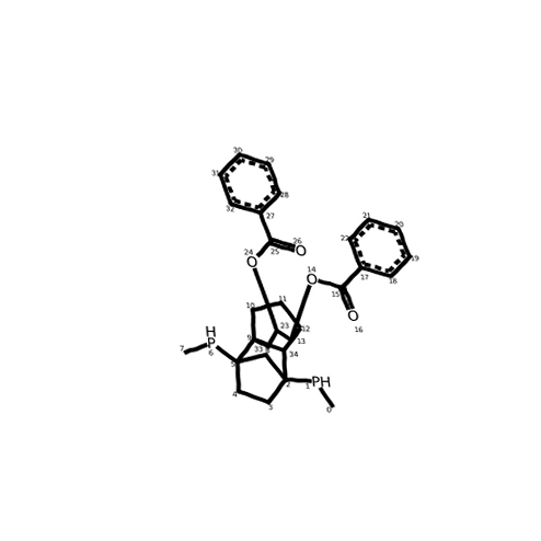 CPC12CCC(PC)(C1)C13CCC(C(OC(=O)c4ccccc4)C(OC(=O)c4ccccc4)C1)C23